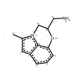 Cc1cc2cccc3c2n1CC(CN)O3